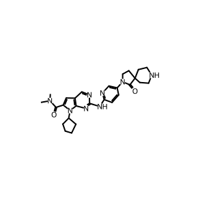 CN(C)C(=O)c1cc2cnc(Nc3ccc(N4CCC5(CCNCC5)C4=O)cn3)nc2n1C1CCCC1